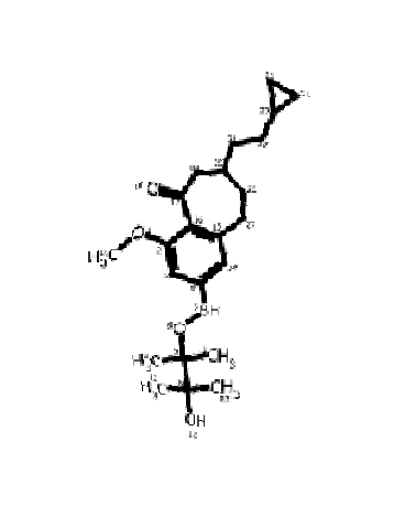 COc1cc(BOC(C)(C)C(C)(C)O)cc2c1C(=O)CC(CCC1CC1)CC2